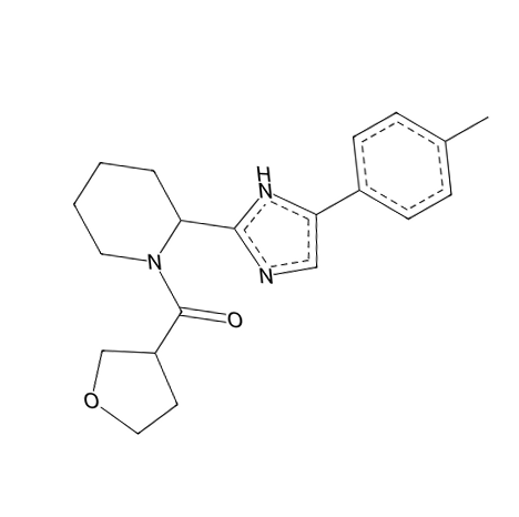 Cc1ccc(-c2cnc(C3CCCCN3C(=O)C3CCOC3)[nH]2)cc1